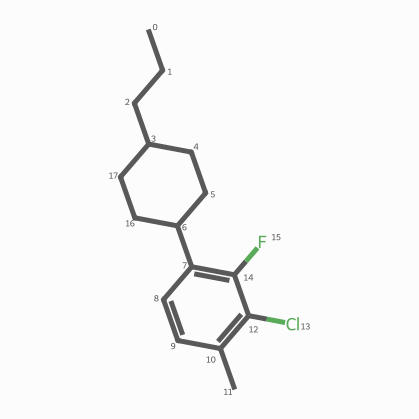 CCCC1CCC(c2ccc(C)c(Cl)c2F)CC1